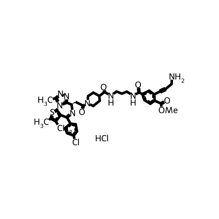 COC(=O)c1ccc(C(=O)NCCCNC(=O)C2CCN(C(=O)C[C@@H]3N=C(c4ccc(Cl)cc4)c4c(sc(C)c4C)-n4c(C)nnc43)CC2)cc1C#CCN.Cl